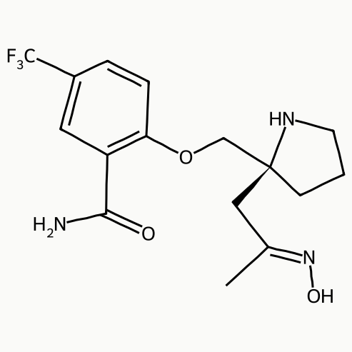 CC(C[C@]1(COc2ccc(C(F)(F)F)cc2C(N)=O)CCCN1)=NO